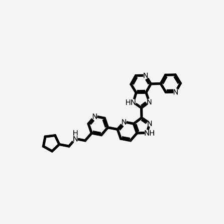 c1cncc(-c2nccc3[nH]c(-c4n[nH]c5ccc(-c6cncc(CNCC7CCCC7)c6)nc45)nc23)c1